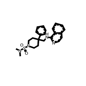 CN(C)S(=O)(=O)N1CCC(CNc2nccc3ccccc23)(c2ccccc2)CC1